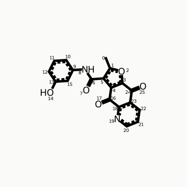 Cc1oc2c(c1C(=O)Nc1cccc(O)c1)C(=O)c1ncccc1C2=O